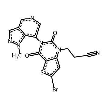 Cn1ncc2cncc(-n3c(=O)c4sc(Br)cc4n(CCC#N)c3=O)c21